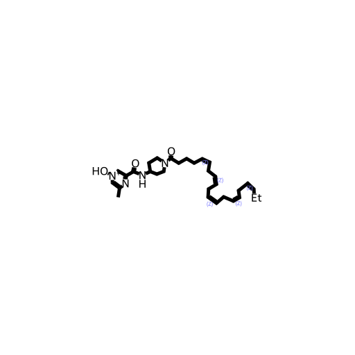 CC/C=C\C/C=C\C/C=C\C/C=C\C/C=C\CCCC(=O)N1CCC(NC(=O)c2c[n+](O)cc(C)n2)CC1